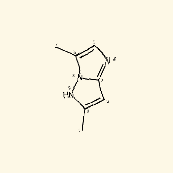 Cc1cc2ncc(C)n2[nH]1